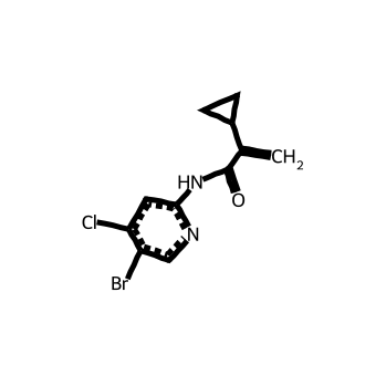 C=C(C(=O)Nc1cc(Cl)c(Br)cn1)C1CC1